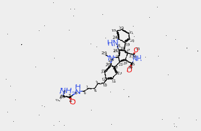 C[C@H](N)C(=O)NCCCCCc1ccc2c3c4c(c5c6ccccc6[nH]c5c3n(C)c2c1)C(=O)NC4=O